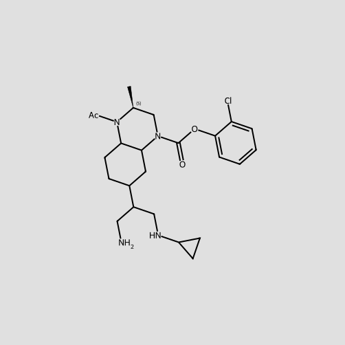 CC(=O)N1C2CCC(C(CN)CNC3CC3)CC2N(C(=O)Oc2ccccc2Cl)C[C@@H]1C